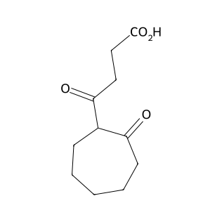 O=C(O)CCC(=O)C1CCCCCC1=O